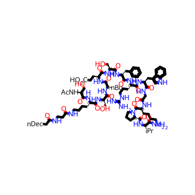 CCCCCCCCCCCC(=O)NCCC(=O)NCCCC[C@H](NC(=O)[C@H](CO)NC(C)=O)C(=O)N[C@@H](CO)C(=O)N[C@@H](CCCC)C(=O)N[C@@H](CCC(=O)O)C(=O)N[C@@H](CO)C(=O)N[C@H](Cc1ccccc1)C(=O)N[C@@H](CCCNC(=N)N)C(=O)N[C@@H](Cc1c[nH]c2ccccc12)C(=O)NCC(=O)N[C@@H](CCCCN)C(=O)N1CCC[C@H]1C(=O)N[C@H](C(N)=O)C(C)C